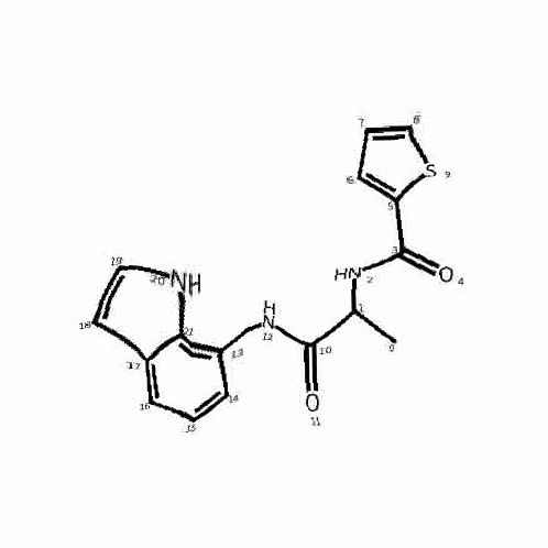 CC(NC(=O)c1cccs1)C(=O)Nc1cccc2cc[nH]c12